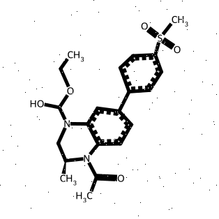 CCOC(O)N1C[C@H](C)N(C(C)=O)c2ccc(-c3ccc(S(C)(=O)=O)cc3)cc21